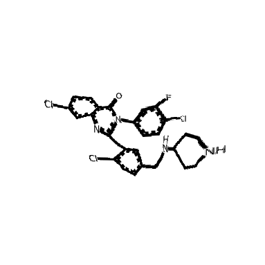 O=c1c2ccc(Cl)cc2nc(-c2cc(CNC3CCNCC3)ccc2Cl)n1-c1ccc(Cl)c(F)c1